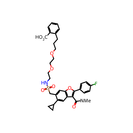 CNC(=O)c1c(-c2ccc(F)cc2)oc2cc(CS(=O)(=O)NCCOCCOCCCc3ccccc3C(=O)O)c(C3CC3)cc12